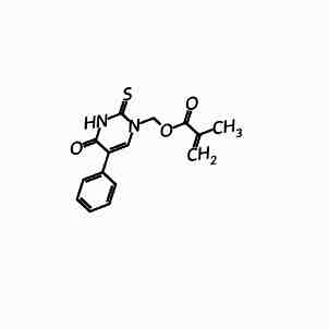 C=C(C)C(=O)OCn1cc(-c2ccccc2)c(=O)[nH]c1=S